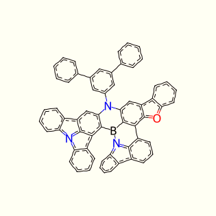 c1ccc(-c2cc(-c3ccccc3)cc(N3c4cc5c(oc6ccccc65)c5c4B(c4c3cc3c6ccccc6n6c7ccccc7c4c36)n3c4ccccc4c4cccc-5c43)c2)cc1